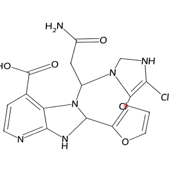 NC(=O)CC(N1CNC(Cl)=C1Cl)N1c2c(C(=O)O)ccnc2NC1c1ccco1